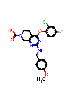 COc1ccc(CNc2nc3c(c(Oc4ccc(F)cc4Cl)n2)CCN(C(=O)O)C3)cc1